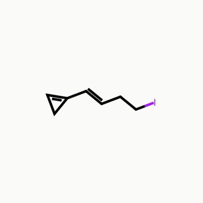 ICC/C=C/C1=CC1